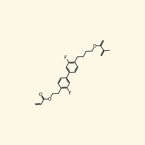 C=CC(=O)OCCc1ccc(-c2ccc(CCCCOC(=C)C(=C)C)c(F)c2)cc1F